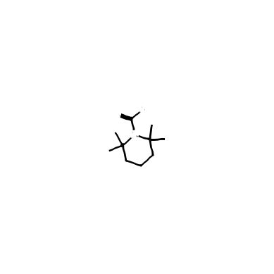 CC1(C)C[CH]CC(C)(C)N1C(N)=O